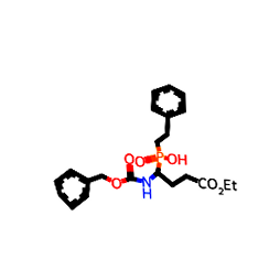 CCOC(=O)CCC(NC(=O)OCc1ccccc1)P(=O)(O)CCc1ccccc1